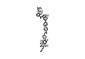 C=CCCC(Nc1ccc(N2CCC(CC(=C)N3CCN(c4ccc(-c5cnc6[nH]cc(C(=C)c7cccc(NSN(C)CC)c7F)c6c5)cn4)CC3)CC2)c(F)c1)C(=C)NC